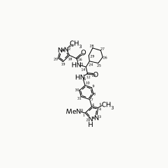 CNc1[nH]nc(C)c1-c1ccc(NC(=O)C(NC(=O)c2ccnn2C)C2CCCCC2)cc1